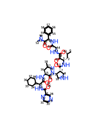 CCC[C@H](NC(=O)[C@@H]1CNC[C@@H]1NC(=O)[C@H](CC(C)C)NC(=O)[C@@H](NC(=O)c1cnccn1)C1CCCCC1)C(=O)C(=O)NCC(=O)N[C@H](C(=O)N(C)C)c1ccccc1